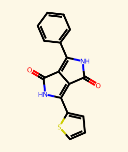 O=C1NC(c2cccs2)=C2C(=O)NC(c3ccccc3)=C12